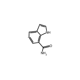 NC(=O)c1c[c]cc2cc[nH]c12